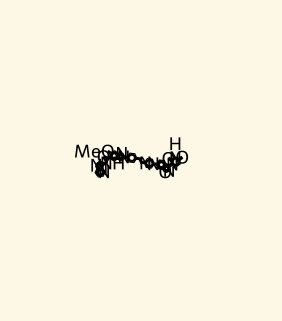 COc1cc2nn(C3CCC(CCN4CCN(c5ccc6c(N7CCC(=O)NC7=O)noc6c5)CC4)CC3)cc2cc1C(=O)Nc1cnc2cccnn12